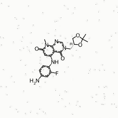 Cn1c(=O)cc(Nc2ccc(N)cc2F)c2c(=O)n(C[C@@H]3COC(C)(C)O3)cnc21